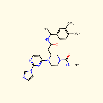 CCCNC(=O)N1CCN(c2ccnc(-n3ccnc3)n2)C(CC(=O)NC(CCC)c2ccc(OC)c(OC)c2)C1